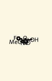 COc1nc2c(c(=O)n(CCCO)c(=O)n2C)n1Cc1ccc(F)cc1